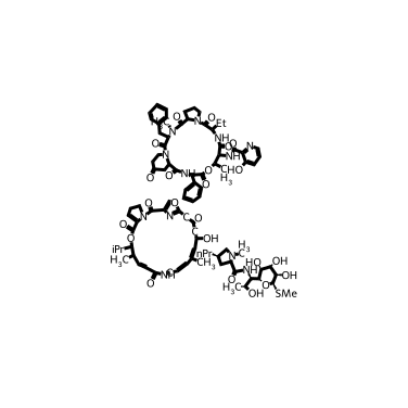 CC1=C/C(O)CC(=O)Cc2nc(co2)C(=O)N2CCC=C2C(=O)OC(C(C)C)C(C)/C=C\C(=O)NC/C=C\1.CCC1NC(=O)C(NC(=O)c2ncccc2O)C(C)OC(=O)C(c2ccccc2)NC(=O)C2CC(=O)CCN2C(=O)C(Cc2ccccc2)N(C)C(=O)C2CCCN2C1=O.CCC[C@@H]1CC(C(=O)N[C@@H]([C@H]2O[C@H](SC)[C@H](O)[C@@H](O)[C@H]2O)[C@@H](C)O)N(C)C1